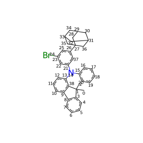 CC1(C)c2ccccc2-c2cccc(N(c3ccccc3)c3cc(Br)cc(C45CC6CC(CC(C6)C4)C5)c3)c21